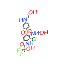 CC(O)(C(=O)Nc1ccc(S(=O)(=O)c2ccc(NCCO)cc2)c(NCCO)c1Cl)C(F)(F)F